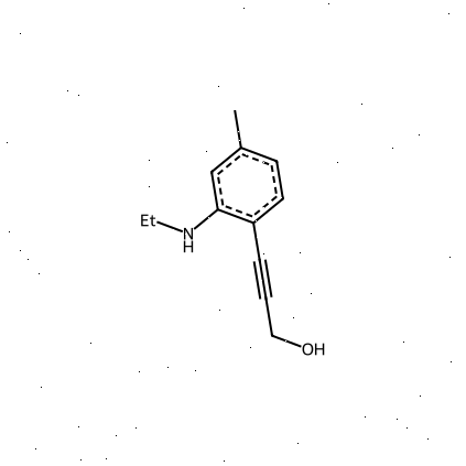 CCNc1cc(C)ccc1C#CCO